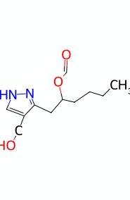 CCCCC(Cc1n[nH]cc1CO)OC=O